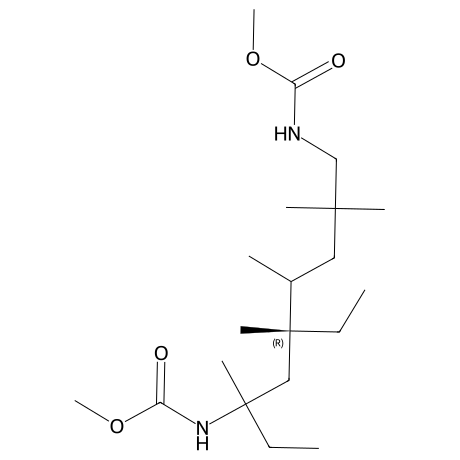 CCC(C)(C[C@@](C)(CC)C(C)CC(C)(C)CNC(=O)OC)NC(=O)OC